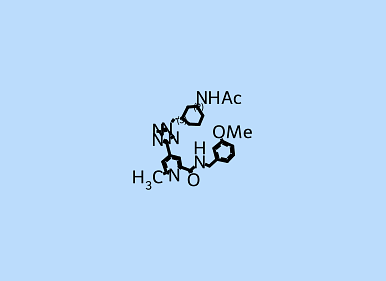 COc1cccc(CNC(=O)c2cc(-c3nnn(C[C@H]4CCC[C@@H](NC(C)=O)C4)n3)cc(C)n2)c1